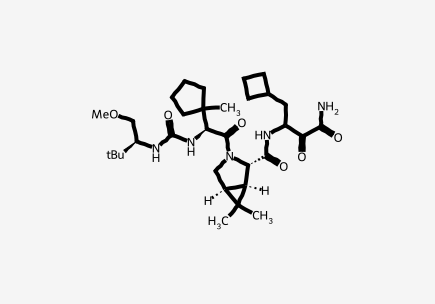 COC[C@@H](NC(=O)N[C@H](C(=O)N1C[C@H]2[C@@H]([C@H]1C(=O)NC(CC1CCC1)C(=O)C(N)=O)C2(C)C)C1(C)CCCC1)C(C)(C)C